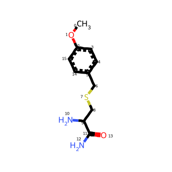 COc1ccc(CSCC(N)C(N)=O)cc1